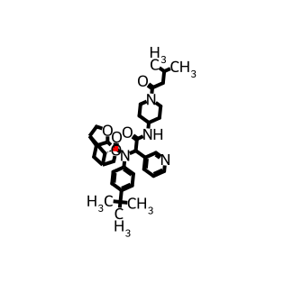 CC(C)CC(=O)N1CCC(NC(=O)C(c2cccnc2)N(C(=O)[C@@H]2C3COC4OCC2C4C3)c2ccc(C(C)(C)C)cc2)CC1